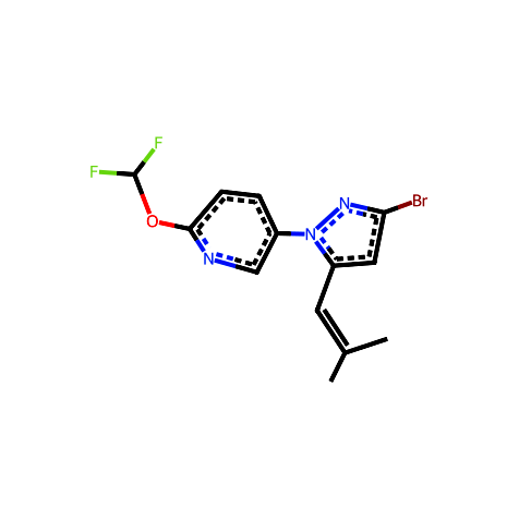 CC(C)=Cc1cc(Br)nn1-c1ccc(OC(F)F)nc1